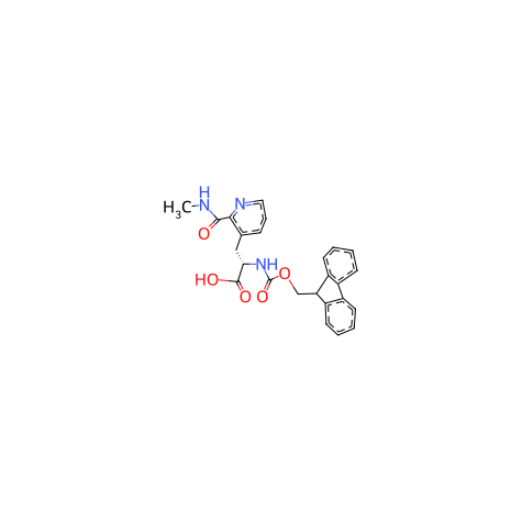 CNC(=O)c1ncccc1C[C@H](NC(=O)OCC1c2ccccc2-c2ccccc21)C(=O)O